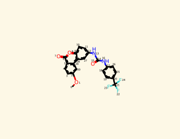 COc1ccc2c(=O)oc3ccc(NC(=O)Nc4ccc(C(F)(F)F)cc4)cc3c2c1